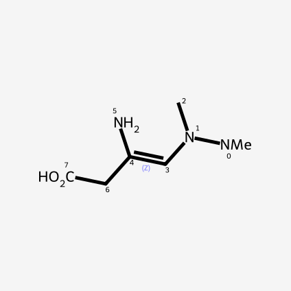 CNN(C)/C=C(\N)CC(=O)O